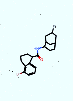 CCC1CC2CCC(NC(=O)C3CCCc4c(Br)cccc43)C(C1)C2